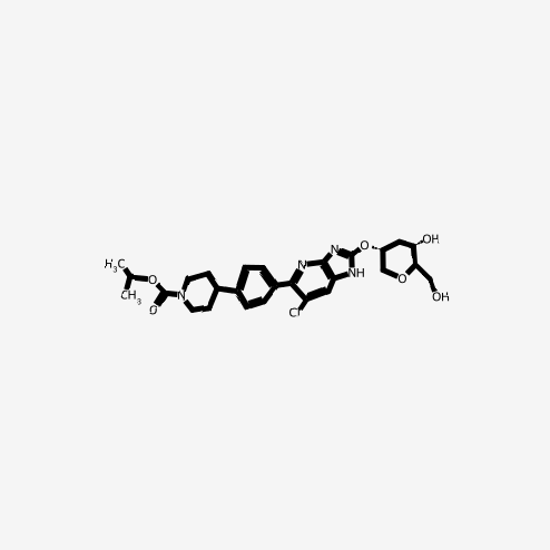 CC(C)OC(=O)N1CCC(c2ccc(-c3nc4nc(O[C@H]5COC(CO)[C@@H](O)C5)[nH]c4cc3Cl)cc2)CC1